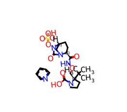 CC(C)(C)[C@]1(CONC(=O)[C@@H]2CC[C@@H]3CN2C(=O)N3OS(=O)(=O)O)CCCN1C(=O)O.c1ccncc1